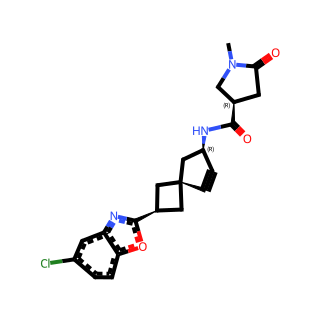 CN1C[C@H](C(=O)N[C@H]2C#C[C@]3(C2)C[C@H](c2nc4cc(Cl)ccc4o2)C3)CC1=O